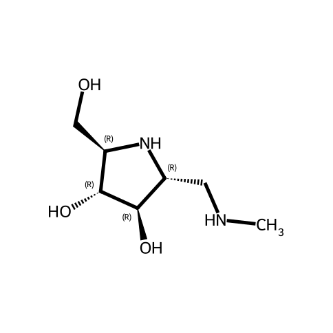 CNC[C@H]1N[C@H](CO)[C@@H](O)[C@@H]1O